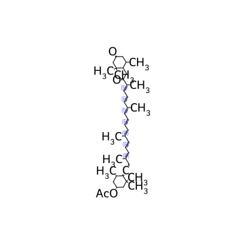 CC(=O)OC1CC(C)C(=C=C/C(C)=C/C=C/C(C)=C/C=C/C=C(C)/C=C/C=C(\C)C(=O)CC2C(C)CC(=O)CC2(C)C)C(C)(C)C1